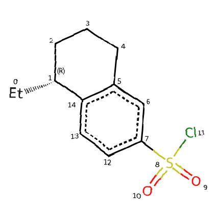 CC[C@@H]1CCCc2cc(S(=O)(=O)Cl)ccc21